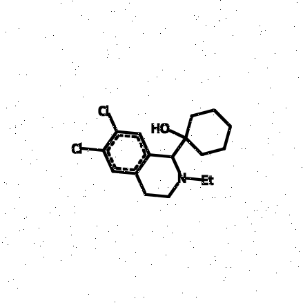 CCN1CCc2cc(Cl)c(Cl)cc2C1C1(O)CCCCC1